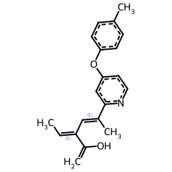 C=C(O)C(=C/C)/C=C(\C)c1cc(Oc2ccc(C)cc2)ccn1